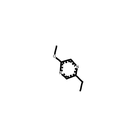 C[CH]c1cnc(OC)cn1